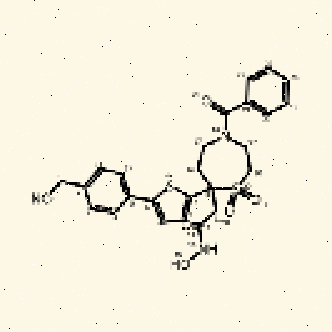 N#CCc1ccc(-c2ccc(C3(CC(=O)NO)CCN(C(=O)c4ccccc4)CCS3(=O)=O)s2)cc1